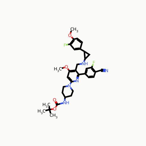 COc1ccc(C2CC2NCc2c(OC)cc(N3CCC(NC(=O)OC(C)(C)C)CC3)nc2-c2ccc(C#N)c(F)c2)cc1F